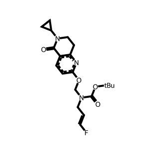 CC(C)(C)OC(=O)N(CC=CF)COc1ccc2c(n1)CCN(C1CC1)C2=O